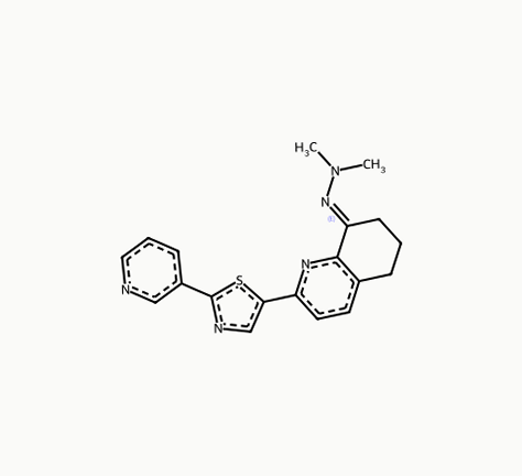 CN(C)/N=C1\CCCc2ccc(-c3cnc(-c4cccnc4)s3)nc21